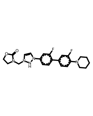 O=C1OCCN1CN1C=CN(c2ccc(-c3ccc(N4CCCCC4)c(F)c3)c(F)c2)N1